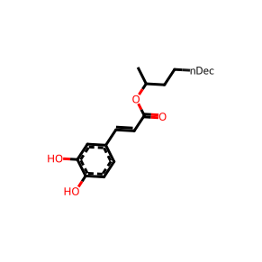 CCCCCCCCCCCCC(C)OC(=O)C=Cc1ccc(O)c(O)c1